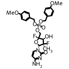 COc1ccc(COP(=O)(OCc2ccc(OC)cc2)OC[C@@]2(F)O[C@@H](n3ccc(N)nc3=O)[C@](C)(F)[C@@H]2O)cc1